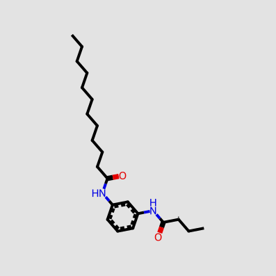 CC[CH]C(=O)Nc1cccc(NC(=O)CCCCCCCCCCC)c1